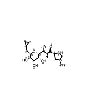 CCC[C@@H]1CN[C@H](C(=O)N[C@H](C(C)C)[C@H]2O[C@H](CC3CC3)[C@H](O)[C@@H](O)[C@H]2O)C1